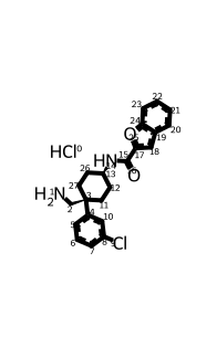 Cl.NC[C@]1(c2cccc(Cl)c2)CC[C@H](NC(=O)c2cc3ccccc3o2)CC1